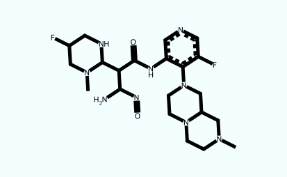 CN1CCN2CCN(c3c(F)cncc3NC(=O)C(C(N)N=O)C3NCC(F)CN3C)CC2C1